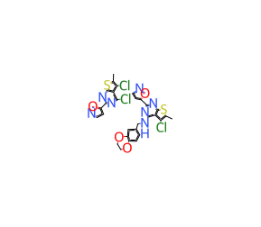 Cc1sc2nc(-c3ccno3)nc(Cl)c2c1Cl.Cc1sc2nc(-c3ccno3)nc(NCc3ccc4c(c3)OCCO4)c2c1Cl